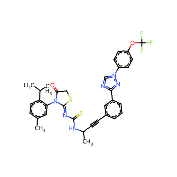 Cc1ccc(C(C)C)c(N2C(=O)CS/C2=N\C(=S)NC(C)C#Cc2cccc(-c3ncn(-c4ccc(OC(F)(F)F)cc4)n3)c2)c1